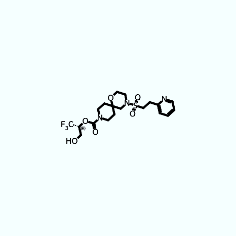 O=C(O[C@H](CO)C(F)(F)F)N1CCC2(CC1)CN(S(=O)(=O)CCc1ccccn1)CCO2